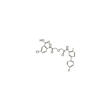 Cc1ccc(-c2ccc(F)cc2)cc1NC(=O)COCC(=O)Nc1ccc(Cl)cc1C(=O)O